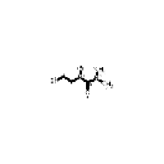 CN(C)C(=O)N(Br)CCBr